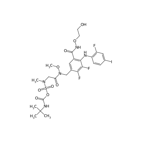 CON(Cc1cc(C(=O)NOCCO)c(Nc2ccc(I)cc2F)c(F)c1F)C(=O)CN(C)S(=O)(=O)OC(=O)NC(C)(C)C